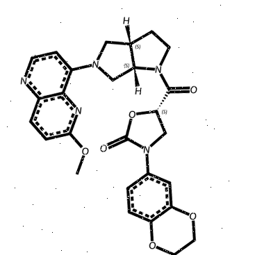 COc1ccc2nccc(N3C[C@@H]4CCN(C(=O)[C@@H]5CN(c6ccc7c(c6)OCCO7)C(=O)O5)[C@@H]4C3)c2n1